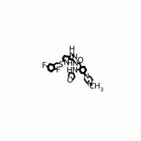 CN1CCN(c2ccc(C(=O)Nc3n[nH]c4ccc(SCc5cc(F)ccc5F)nc34)c(NC3CCOCC3)c2)CC1